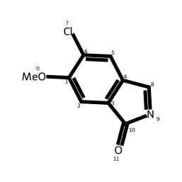 COc1cc2c(cc1Cl)C=NC2=O